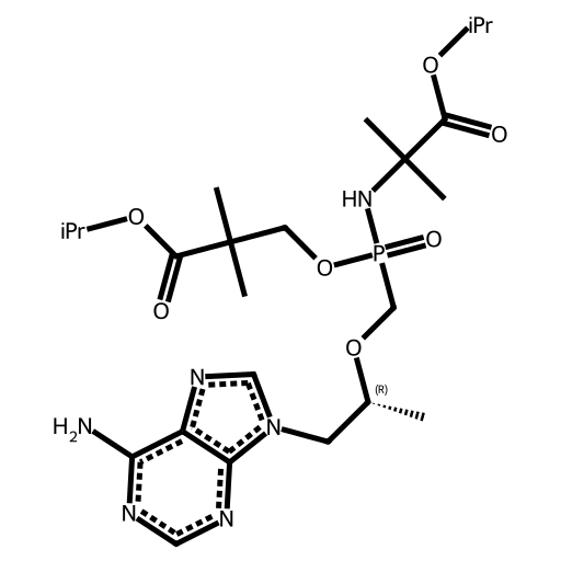 CC(C)OC(=O)C(C)(C)COP(=O)(CO[C@H](C)Cn1cnc2c(N)ncnc21)NC(C)(C)C(=O)OC(C)C